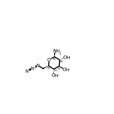 [N-]=[N+]=NC[C@H]1O[C@@H](N)[C@H](O)[C@@H](O)[C@@H]1O